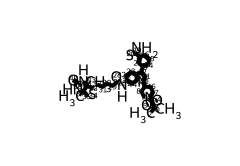 CC(C)S(=O)(=O)N1CCC(n2cc(-c3cccc(C(N)=S)c3)c3ccc(NC(=O)CCCC[C@@H]4SC[C@]5(C)NC(=O)N[C@]45C)cc32)CC1